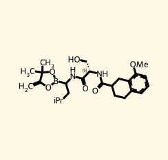 C=C1OB(C(CC(C)C)NC(=O)[C@H](CO)NC(=O)C2CCc3cccc(OC)c3C2)OC1(C)C